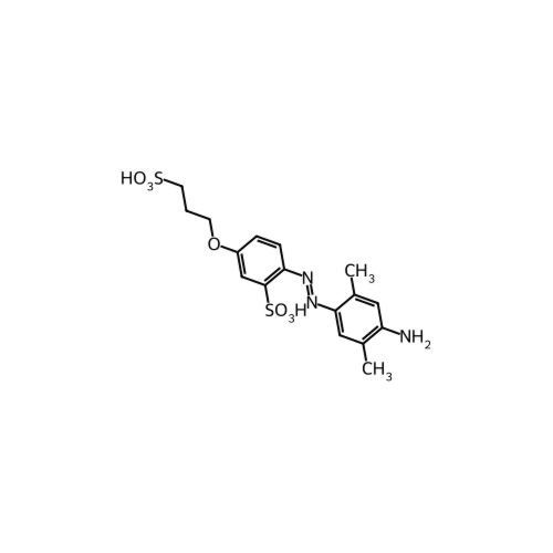 Cc1cc(N=Nc2ccc(OCCCS(=O)(=O)O)cc2S(=O)(=O)O)c(C)cc1N